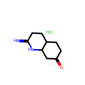 Cl.N=C1CCC2CCC(=O)CC2N1